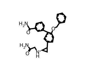 NC(=O)CN[C@H]1CC1c1ccc(OCc2ccccc2)c(-c2cccc(C(N)=O)c2)c1